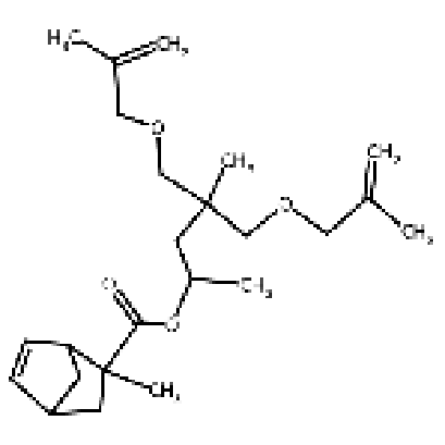 C=C(C)COCC(C)(COCC(=C)C)CC(C)OC(=O)C1(C)CC2C=CC1C2